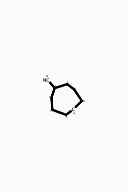 N#CC1CCCCCCC1